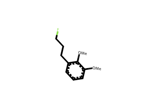 COc1c[c]cc(CCCF)c1OC